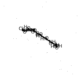 O=C(CCCCCNC(=O)CCCC[C@@H]1SC[C@@H]2NC(=O)N[C@@H]21)NCCCCCNC(=O)CCC(=O)OCCCC1OCCN(c2ccc(N3C[C@H](CNC(=O)c4ccc(Cl)s4)OC3=O)cc2)C1=O